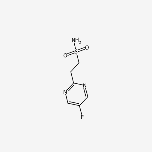 NS(=O)(=O)CCc1ncc(F)cn1